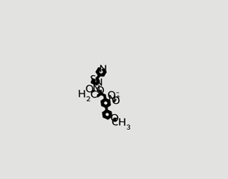 C=CC(Cc1ccc(-c2cccc(OC)c2)cc1[N+](=O)[O-])ON(C=O)c1csc(-c2ccncc2)n1